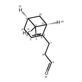 CC1(C)[C@H]2CC=C(CCC=O)[C@@H]1C2